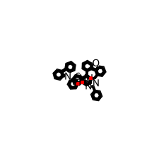 c1ccc(C2=NC(c3cccc4oc5cccc(-c6cccc7c6sc6c(-n8c9ccccc9c9ccccc98)cccc67)c5c34)NC(c3ccccc3)=N2)cc1